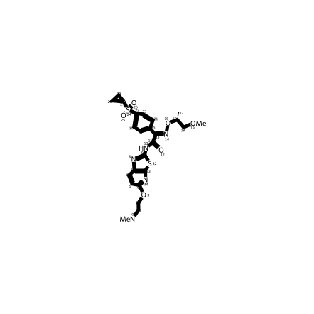 CNCCOc1ccc2nc(NC(=O)/C(=N/O[C@H](C)COC)c3ccc(S(=O)(=O)C4CC4)cc3)sc2n1